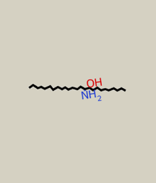 CCCCCCCCCCCCCCC(N)C(O)CCCCCCCCC